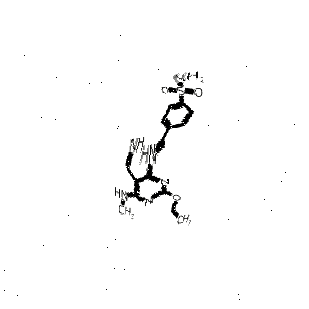 CCOc1nc(NC)c(C=N)c(NCc2ccc(S(N)(=O)=O)cc2)n1